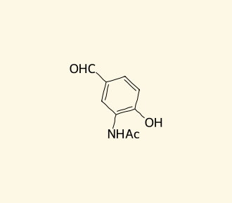 CC(=O)Nc1cc(C=O)ccc1O